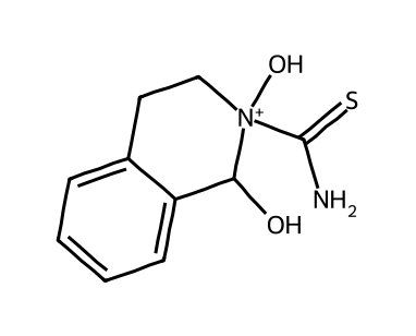 NC(=S)[N+]1(O)CCc2ccccc2C1O